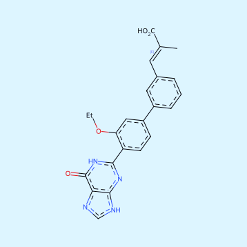 CCOc1cc(-c2cccc(/C=C(\C)C(=O)O)c2)ccc1-c1nc2[nH]cnc2c(=O)[nH]1